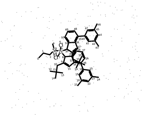 CCC[SiH](C)[Zr]([Cl])([Cl])([CH]1C(CC(C)(C)C)=Cc2c(-c3cc(C)cc(C)c3)cccc21)[CH]1C(CC(C)(C)C)=Cc2c(-c3cc(C)cc(C)c3)cccc21